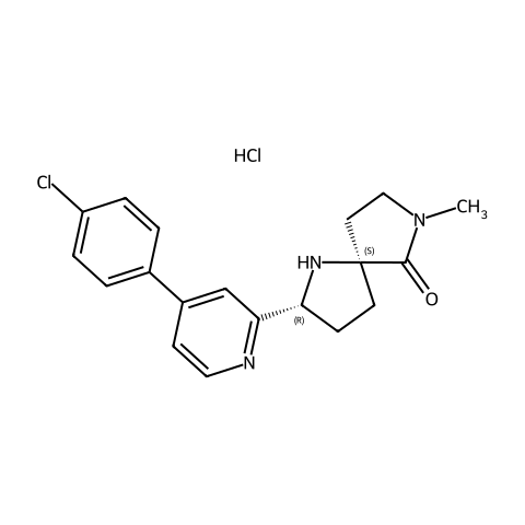 CN1CC[C@@]2(CC[C@H](c3cc(-c4ccc(Cl)cc4)ccn3)N2)C1=O.Cl